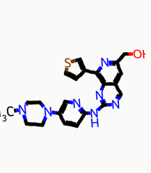 CN1CCN(c2ccc(Nc3ncc4cc(CO)nc(-c5ccsc5)c4n3)nc2)CC1